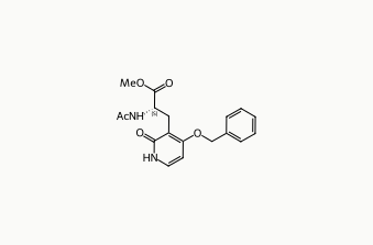 COC(=O)[C@H](Cc1c(OCc2ccccc2)cc[nH]c1=O)NC(C)=O